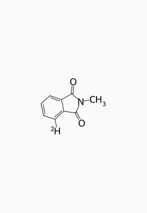 [2H]c1cccc2c1C(=O)N(C)C2=O